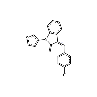 C=C1/C(=N\c2ccc(Cl)cc2)c2ccccc2N1c1ccsc1